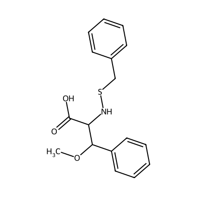 COC(c1ccccc1)C(NSCc1ccccc1)C(=O)O